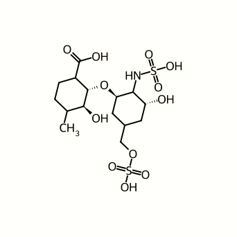 CC1CCC(C(=O)O)[C@H](O[C@@H]2CC(COS(=O)(=O)O)C[C@@H](O)C2NS(=O)(=O)O)[C@H]1O